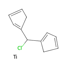 ClC(C1=CC=CC1)C1=CC=CC1.[Ti]